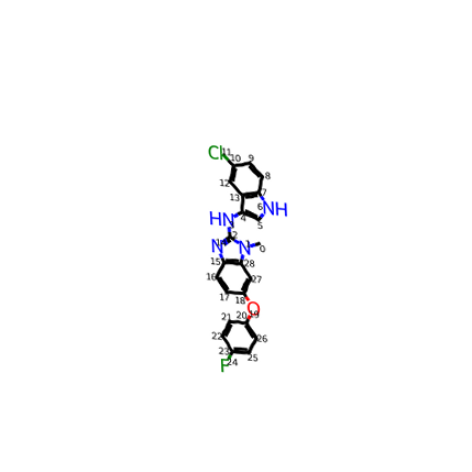 Cn1c(Nc2c[nH]c3ccc(Cl)cc23)nc2ccc(Oc3ccc(F)cc3)cc21